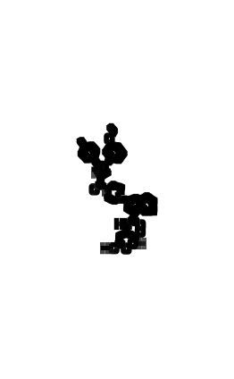 CCOc1cccc(-n2cc(C(=O)N3CCN(c4cc(C(=O)NC(CC(=O)O)C(=O)O)c5ccccc5c4)CC3)nc2-c2ccc(C)cc2)c1